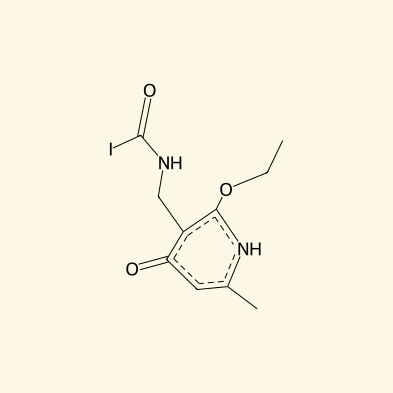 CCOc1[nH]c(C)cc(=O)c1CNC(=O)I